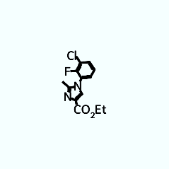 CCOC(=O)c1cn(-c2cccc(Cl)c2F)c(C)n1